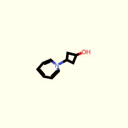 OC1CC(N2C=CC=CC=C2)C1